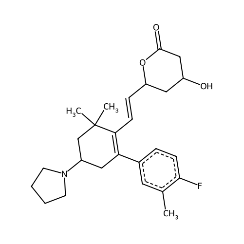 Cc1cc(C2=C(C=CC3CC(O)CC(=O)O3)C(C)(C)CC(N3CCCC3)C2)ccc1F